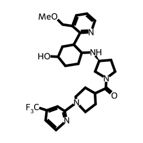 COCc1cccnc1C1CC(O)CCC1N[C@H]1CCN(C(=O)C2CCN(c3cc(C(F)(F)F)ccn3)CC2)C1